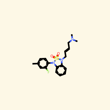 Cc1ccc(N2c3ccccc3N(CC=CCN(C)C)S2(=O)=O)c(F)c1